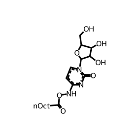 CCCCCCCCC(=O)ONc1ccn(C2OC(CO)C(O)C2O)c(=O)n1